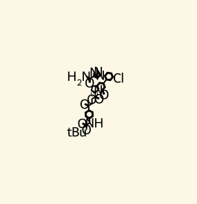 CC(C)(C)OC(=O)Nc1ccc(C(=O)COC(=O)[C@@H]2CCc3cc(-c4cc(Cl)ccc4-n4cc(C(N)=O)nn4)cc(=O)n32)cc1